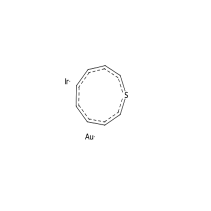 [Au].[Ir].c1ccccsccc1